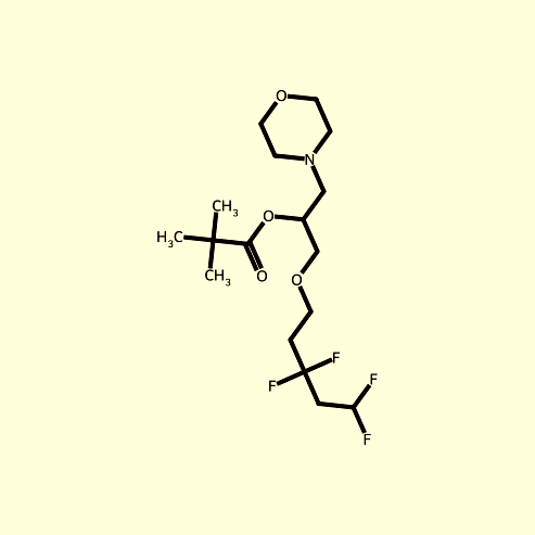 CC(C)(C)C(=O)OC(COCCC(F)(F)CC(F)F)CN1CCOCC1